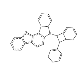 C1=CCC2C(=C1)N(N1c3ccc4c(sc5ccccc54)c3C3C=CC=CC31)C2C1=CCCC=C1